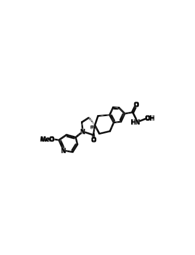 COc1cc(N2CC[C@]3(CCc4cc(C(=O)NO)ccc4C3)C2=O)ccn1